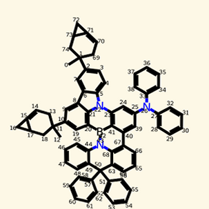 CC1(c2ccc3c(c2)c2cc(C4(C)CC=C5CC5C4)cc4c2n3-c2cc(N(c3ccccc3)c3ccccc3)cc3c2B4N2c4ccccc4C(c4ccccc4)(c4ccccc4)c4cccc-3c42)CC=C2CC2C1